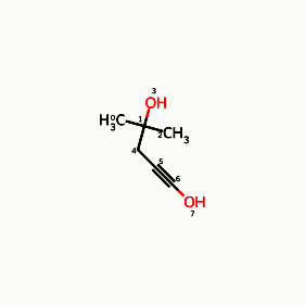 CC(C)(O)CC#CO